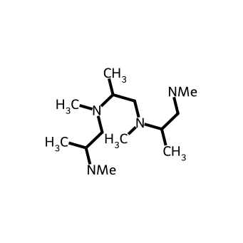 CNCC(C)N(C)CC(C)N(C)CC(C)NC